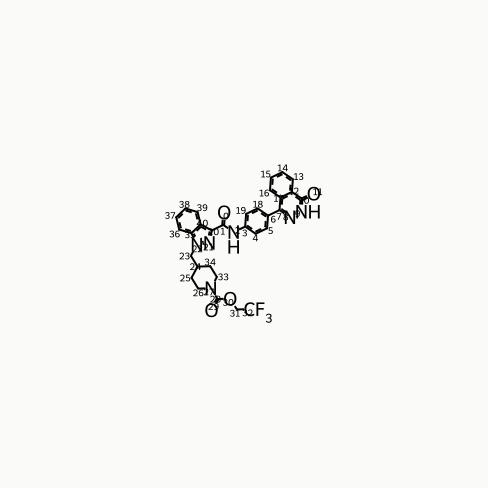 O=C(Nc1ccc(-c2n[nH]c(=O)c3ccccc23)cc1)c1nn(CC2CCN(C(=O)OCC(F)(F)F)CC2)c2ccccc12